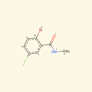 CC(=O)ONC(=O)c1cc(F)ccc1Br